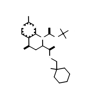 CC(C)(C)OC(=O)N1c2nc(Cl)ncc2C(=O)CC1C(=O)NCC1(O)CCCCC1